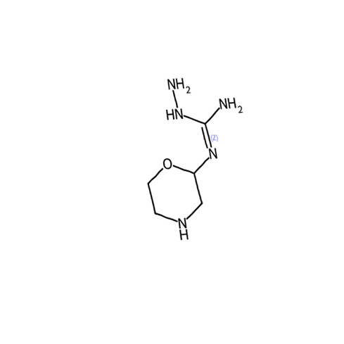 NN/C(N)=N\C1CNCCO1